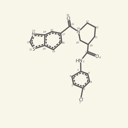 O=C(Nc1ccc(Cl)cc1)C1CCCN(C(=O)c2ccc3scnc3c2)C1